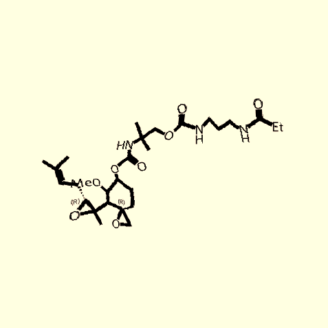 CCC(=O)NCCCNC(=O)OCC(C)(C)NC(=O)OC1CC[C@]2(CO2)C(C2(C)O[C@@H]2CC=C(C)C)C1OC